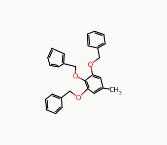 Cc1cc(OCc2ccccc2)c(OCc2ccccc2)c(OCc2ccccc2)c1